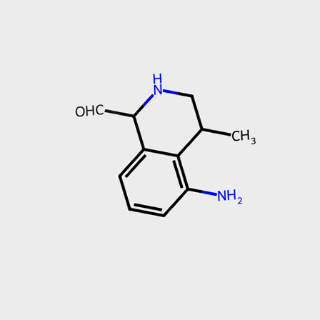 CC1CNC(C=O)c2cccc(N)c21